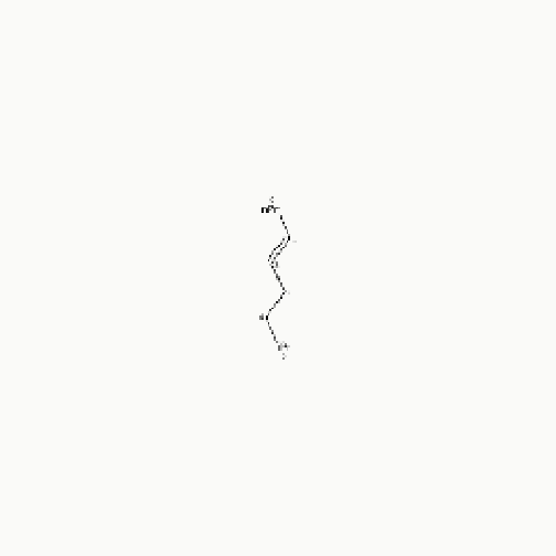 [CH2]CCC=CCCC(C)C